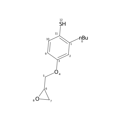 CCCCc1cc(OCC2CO2)ccc1S